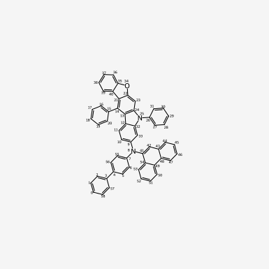 c1ccc(-c2ccc(N(c3ccc4c5c(-c6ccccc6)c6c(cc5n(-c5ccccc5)c4c3)oc3ccccc36)c3cc4ccccc4c4ccccc34)cc2)cc1